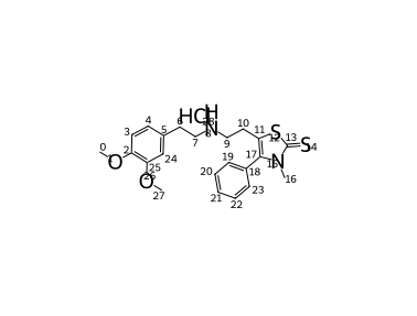 COc1ccc(CCNCCc2sc(=S)n(C)c2-c2ccccc2)cc1OC.Cl